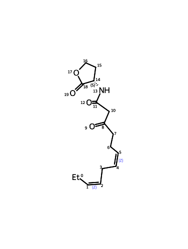 CC/C=C\C/C=C\CCC(=O)CC(=O)N[C@H]1CCOC1=O